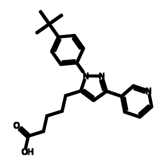 CC(C)(C)c1ccc(-n2nc(-c3cccnc3)cc2CCCCC(=O)O)cc1